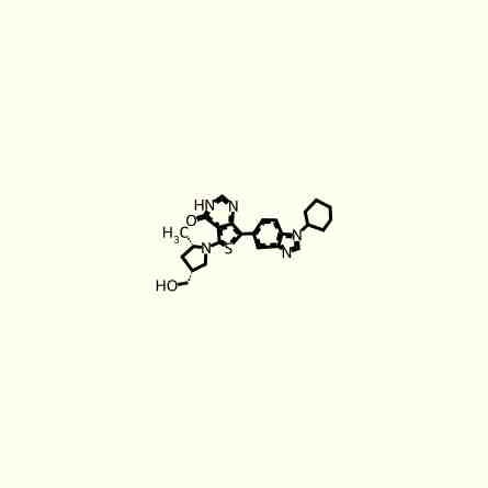 C[C@H]1C[C@@H](CO)CN1c1sc(-c2ccc3c(c2)ncn3C2CCCCC2)c2nc[nH]c(=O)c12